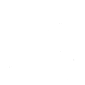 CC(C)CC(Nc1ccc(C(=O)NCCC(=O)O)cn1)c1ccc(-c2ccc(C(C)C)cc2)cc1